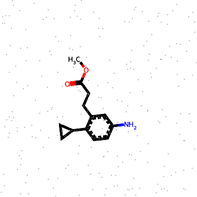 COC(=O)CCc1cc(N)ccc1C1CC1